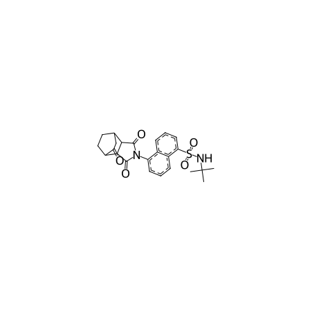 CC(C)(C)NS(=O)(=O)c1cccc2c(N3C(=O)C4C5CCC(C(=O)C5)C4C3=O)cccc12